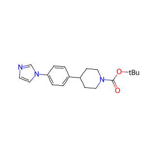 CC(C)(C)OC(=O)N1CCC(c2ccc(-n3ccnc3)cc2)CC1